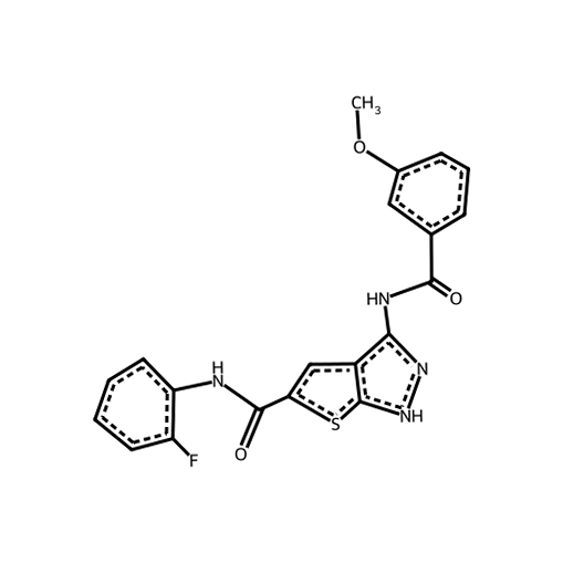 COc1cccc(C(=O)Nc2n[nH]c3sc(C(=O)Nc4ccccc4F)cc23)c1